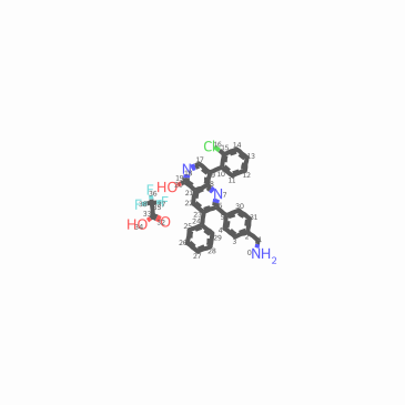 NCc1ccc(-c2nc3c(-c4ccccc4Cl)cnc(O)c3cc2-c2ccccc2)cc1.O=C(O)C(F)(F)F